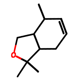 CC1C=CCC2C1COC2(C)C